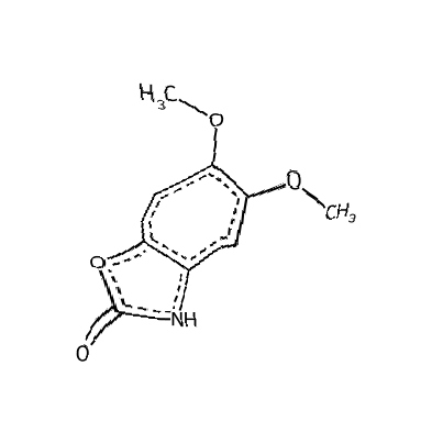 COc1cc2[nH]c(=O)oc2cc1OC